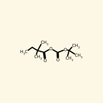 CCC(C)(C)C(=O)OC(=O)OC(C)(C)C